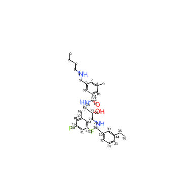 CCCCNCc1cc(C)cc(C(=O)N[C@@H](Cc2cc(F)cc(F)c2)[C@@H](O)CNCc2cccc(CC)c2)c1